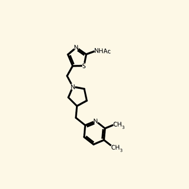 CC(=O)Nc1ncc(CN2CCC(Cc3ccc(C)c(C)n3)C2)s1